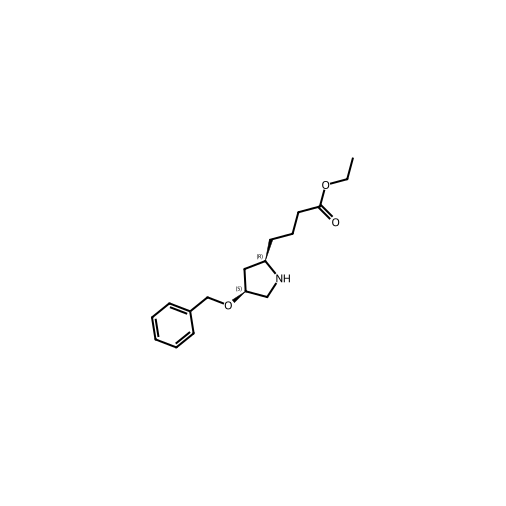 CCOC(=O)CCC[C@@H]1C[C@H](OCc2ccccc2)CN1